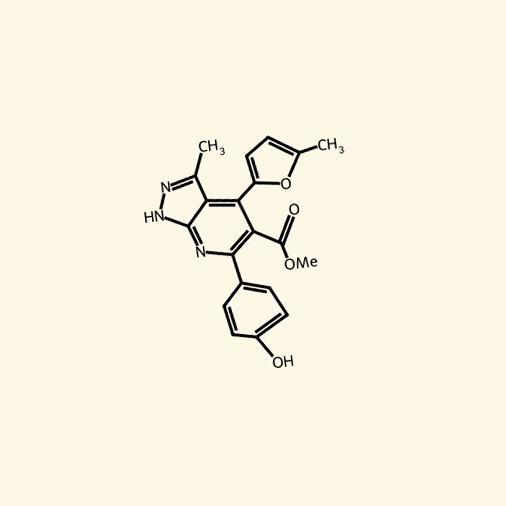 COC(=O)c1c(-c2ccc(O)cc2)nc2[nH]nc(C)c2c1-c1ccc(C)o1